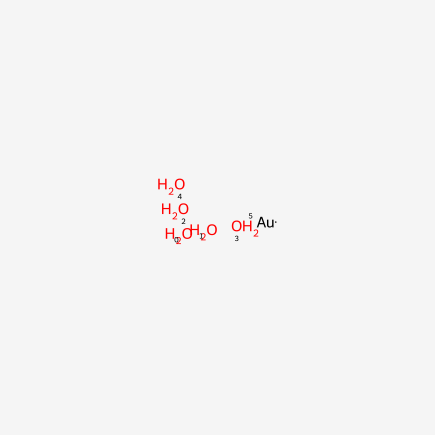 O.O.O.O.O.[Au]